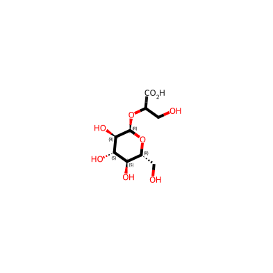 O=C(O)C(CO)O[C@H]1O[C@H](CO)[C@@H](O)[C@H](O)[C@H]1O